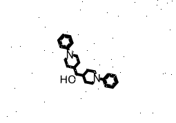 OC(C1CCN(c2ccccc2)CC1)C1CCN(c2ccccc2)CC1